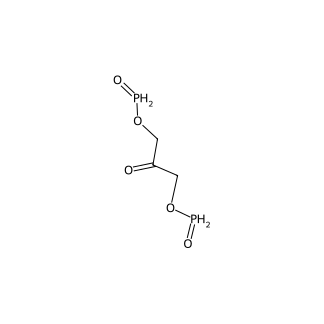 O=[PH2]OCC(=O)CO[PH2]=O